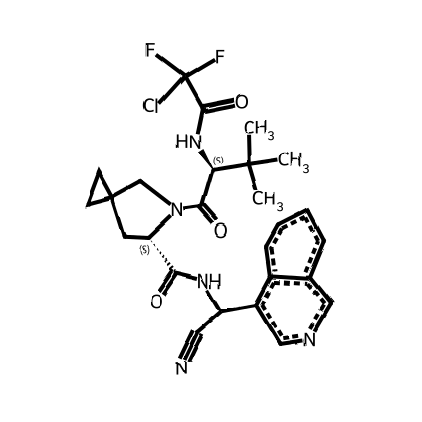 CC(C)(C)[C@H](NC(=O)C(F)(F)Cl)C(=O)N1CC2(CC2)C[C@H]1C(=O)NC(C#N)c1cncc2ccccc12